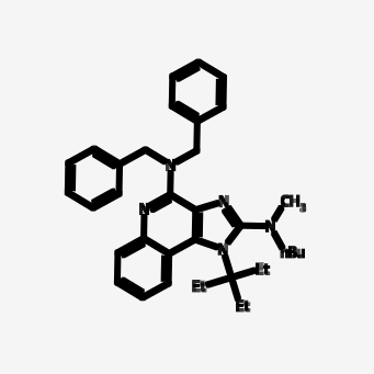 CCCCN(C)c1nc2c(N(Cc3ccccc3)Cc3ccccc3)nc3ccccc3c2n1C(CC)(CC)CC